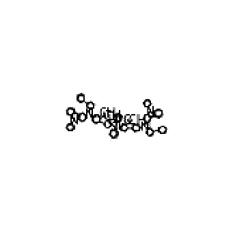 CC1(C)c2cc(N(c3cccc(-c4ccccc4)c3)c3ccc4c(c3)c3ccccc3n4-c3ccccc3)ccc2-c2ccc([Si](c3ccccc3)(c3ccccc3)c3ccc4c(c3)C(C)(C)c3cc(N(c5cccc(-c6ccccc6)c5)c5ccc6c(c5)c5ccccc5n6-c5ccccc5)ccc3-4)cc21